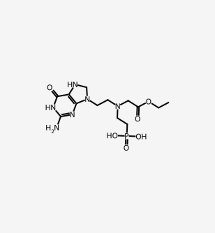 CCOC(=O)CN(CCN1CNc2c1nc(N)[nH]c2=O)CCP(=O)(O)O